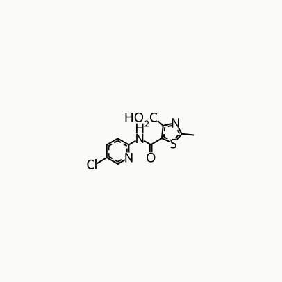 Cc1nc(C(=O)O)c(C(=O)Nc2ccc(Cl)cn2)s1